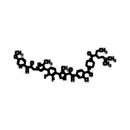 CCC(CCN(C)C)C(=O)N1CCN(C(=O)c2ccc(NC(=O)c3ncc(-c4ccc(-c5cn(CC(=O)Nc6ccc(OC)cn6)nc5C)c(F)c4F)n3C)cc2Cl)CC1